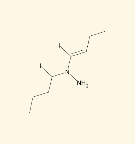 CC/C=C(\I)N(N)C(I)CCC